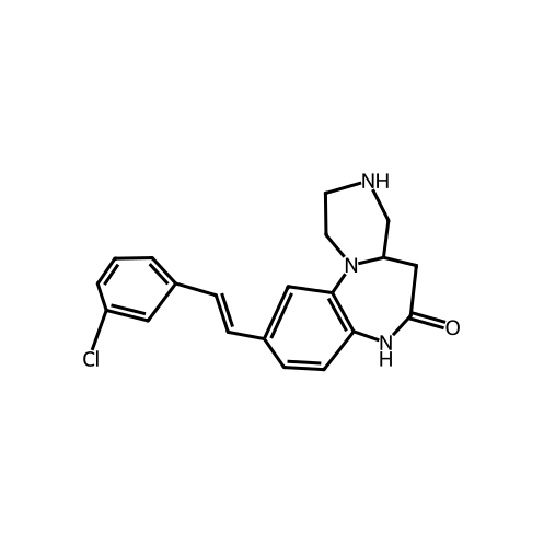 O=C1CC2CNCCN2c2cc(C=Cc3cccc(Cl)c3)ccc2N1